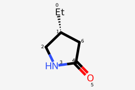 CC[C@H]1CNC(=O)C1